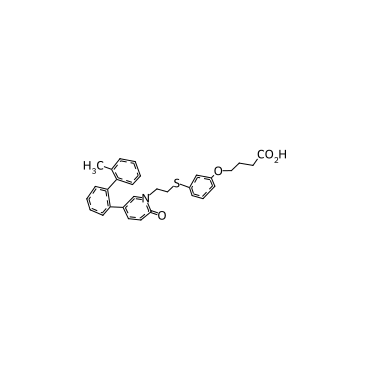 Cc1ccccc1-c1ccccc1-c1ccc(=O)n(CCSc2cccc(OCCCC(=O)O)c2)c1